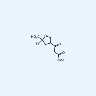 CCC1(C(=O)O)CC(C(=O)CC(=O)OC)CO1